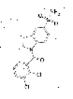 NS(=O)(=O)c1ccc2c(c1)CCN2C(=O)c1cccc(Cl)c1Cl